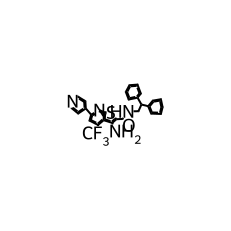 Nc1c(C(=O)NCC(c2ccccc2)c2ccccc2)sc2nc(-c3ccncc3)cc(C(F)(F)F)c12